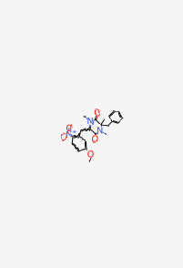 COc1ccc([N+](=O)[O-])c(C=C2C(=O)N(C)C(C)(Cc3ccccc3)C(=O)N2C)c1